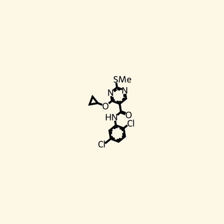 CSc1ncc(C(=O)Nc2cc(Cl)ccc2Cl)c(OC2CC2)n1